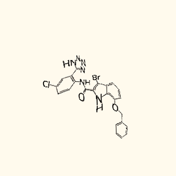 O=C(Nc1ccc(Cl)cc1-c1nnn[nH]1)c1[nH]c2c(OCc3ccccc3)cccc2c1Br